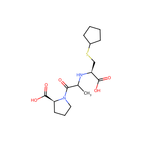 CC(N[C@@H](CSC1CCCC1)C(=O)O)C(=O)N1CCC[C@H]1C(=O)O